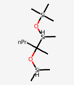 CCCC(C)(O[SiH](C)C)[SiH](C)O[Si](C)(C)C